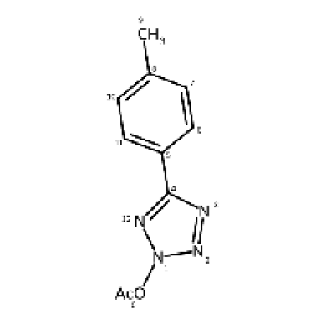 CC(=O)On1nnc(-c2ccc(C)cc2)n1